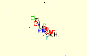 C[S+]([O-])c1cc(F)cc(C[C@H](NC(=O)c2c(Cl)cc3c(c2Cl)CCN(C(=O)c2cccc(Cl)c2)C3)C(=O)O)c1